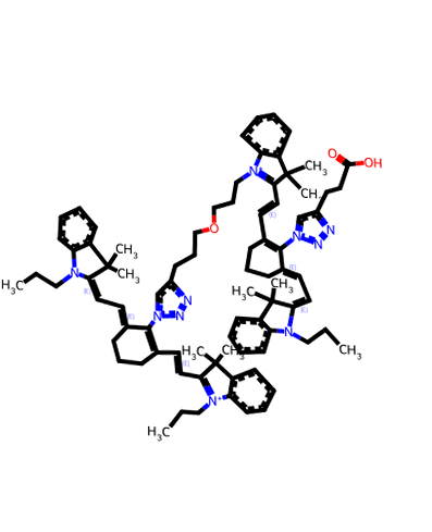 CCCN1/C(=C/C=C2\CCCC(/C=C/C3=[N+](CCC)c4ccccc4C3(C)C)=C2n2cc(CCCOCCC[N+]3=C(/C=C/C4=C(n5cc(CCC(=O)O)nn5)C(=C/C=C5/N(CCC)c6ccccc6C5(C)C)/CCC4)C(C)(C)c4ccccc43)nn2)C(C)(C)c2ccccc21